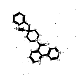 N#CC1(Cc2ccccc2)CCN(C(=O)c2cccnc2-c2ccncc2)CC1